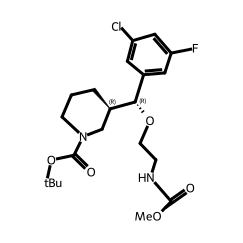 COC(=O)NCCO[C@@H](c1cc(F)cc(Cl)c1)[C@@H]1CCCN(C(=O)OC(C)(C)C)C1